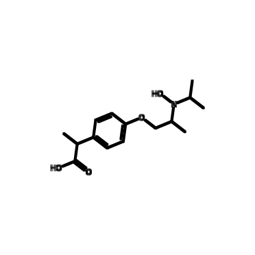 CC(C(=O)O)c1ccc(OCC(C)N(O)C(C)C)cc1